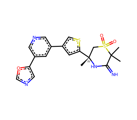 CC1(C)C(=N)N[C@](C)(c2cc(-c3cncc(-c4cnco4)c3)cs2)CS1(=O)=O